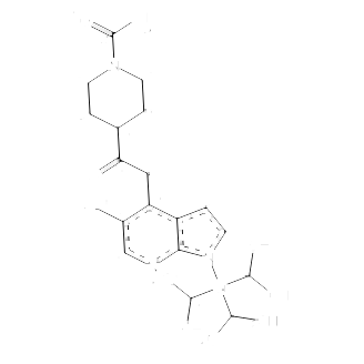 CC(C)[Si](C(C)C)(C(C)C)n1ccc2c(CC(=O)C3CCN(C(=O)O)CC3)c(Cl)cnc21